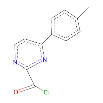 Cc1ccc(-c2ccnc(C(=O)Cl)n2)cc1